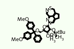 COc1ccc(C(OC[C@H]2O[C@@H](N3C=C4CCC5=C4C(=N3)C=NSC5)[C@H](O[Si](C)(C)C(C)(C)C)[C@@H]2O)(c2ccccc2)c2ccc(OC)cc2)cc1